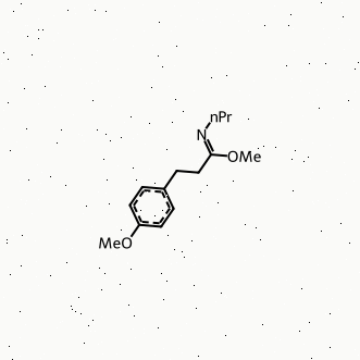 CCCN=C(CCc1ccc(OC)cc1)OC